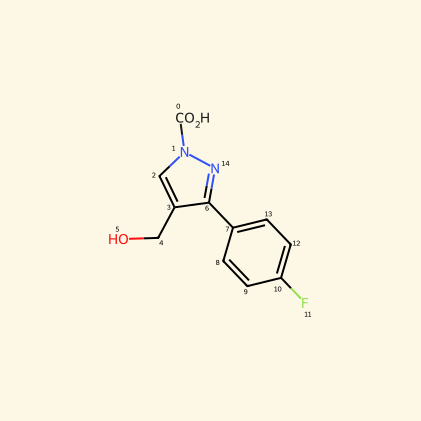 O=C(O)n1cc(CO)c(-c2ccc(F)cc2)n1